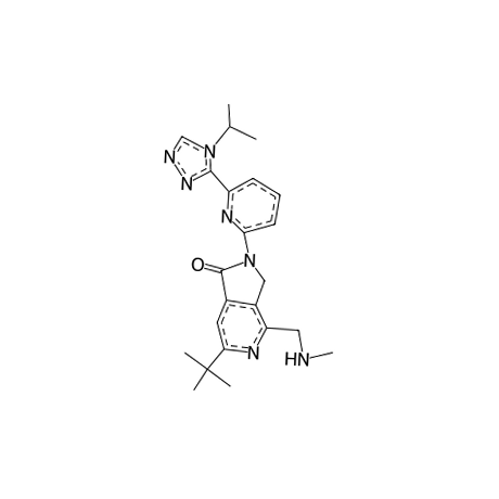 CNCc1nc(C(C)(C)C)cc2c1CN(c1cccc(-c3nncn3C(C)C)n1)C2=O